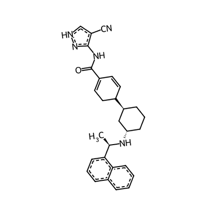 C[C@@H](N[C@H]1CCC[C@H](C2C=CC(C(=O)Nc3n[nH]cc3C#N)=CC2)C1)c1cccc2ccccc12